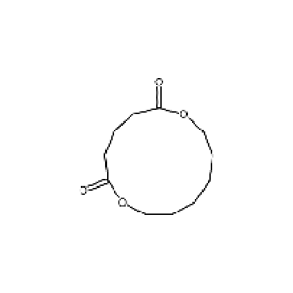 O=C1CCCC(=O)OCCCCCCO1